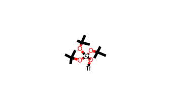 CC(C)(C)O[Si]([O][Ti])(OC(C)(C)C)OC(C)(C)C